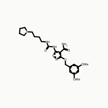 COc1cc(COc2nsc(NC(=O)NCCCCN3CCCC3)c2C(N)=O)cc(OC)c1